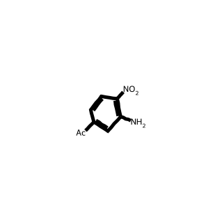 CC(=O)c1ccc([N+](=O)[O-])c(N)c1